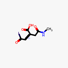 CNC(=O)C/C(=C/C(=O)I)C(=O)O